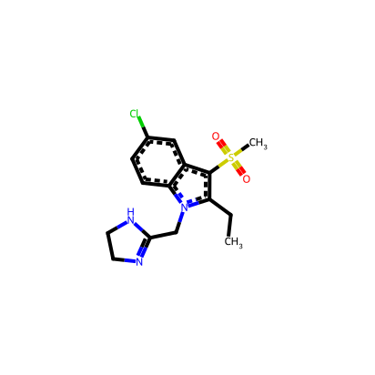 CCc1c(S(C)(=O)=O)c2cc(Cl)ccc2n1CC1=NCCN1